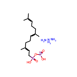 CC(C)=CCCC(C)=CCCC(C)=CCP(=O)(O)O[PH](=O)O.N.N.N